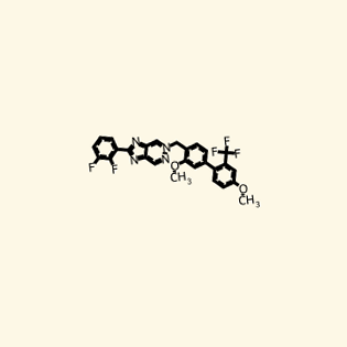 COc1ccc(-c2ccc(Cn3cc4nc(-c5cccc(F)c5F)nc-4cn3)c(OC)c2)c(C(F)(F)F)c1